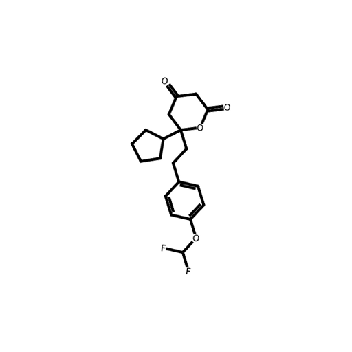 O=C1CC(=O)OC(CCc2ccc(OC(F)F)cc2)(C2CCCC2)C1